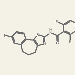 O=C(Nc1nc2c(s1)-c1ccc(I)cc1CCC2)c1c(F)cccc1F